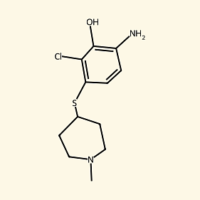 CN1CCC(Sc2ccc(N)c(O)c2Cl)CC1